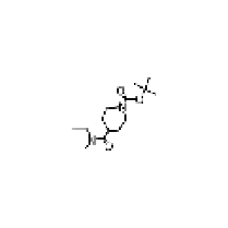 CCN(C)C(=O)C1CCN(C(=O)OC(C)(C)C)CC1